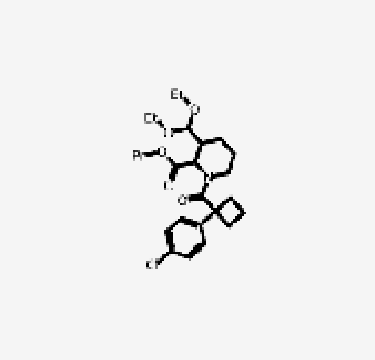 CCOC(OCC)C1CCCN(C(=O)C2(c3ccc(Cl)cc3)CCC2)C1C(=O)OC(C)C